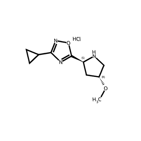 CO[C@H]1CN[C@H](c2nc(C3CC3)no2)C1.Cl